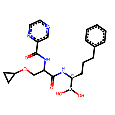 O=C(NC(COC1CC1)C(=O)N[C@@H](CCCc1ccccc1)B(O)O)c1cnccn1